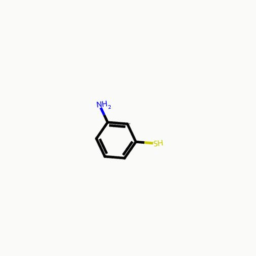 Nc1[c]c(S)ccc1